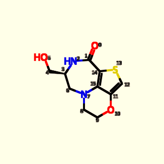 O=C1N[C@H](CO)CN2CCOc3csc1c32